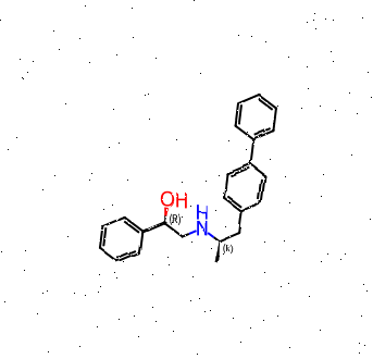 C[C@H](Cc1ccc(-c2ccccc2)cc1)NC[C@H](O)c1ccccc1